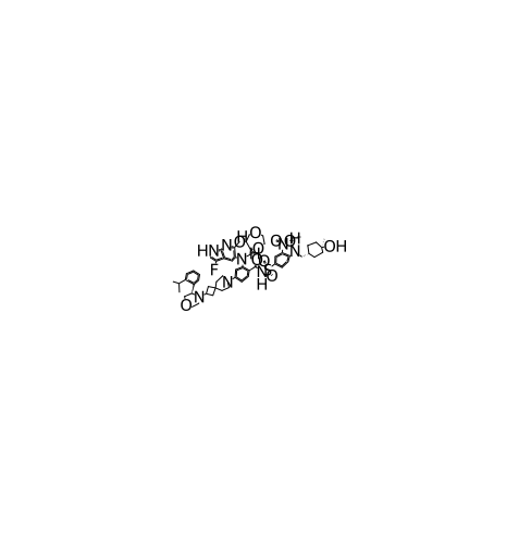 CC(C)c1ccccc1[C@@H]1COCCN1C1CC2(CCN(c3ccc(C(=O)NS(=O)(=O)c4ccc(NC[C@H]5CC[C@](C)(O)CC5)c([N+](=O)[O-])c4)c(N4C[C@H]5OCCOC[C@@H]5Oc5nc6[nH]cc(F)c6cc54)c3)CC2)C1